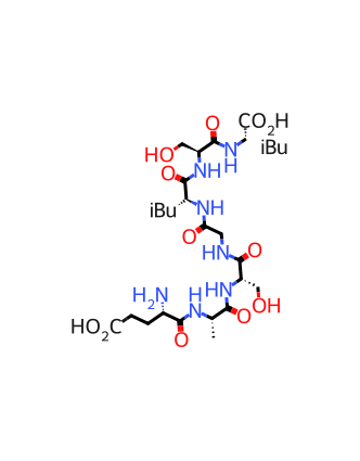 CC[C@H](C)[C@H](NC(=O)[C@H](CO)NC(=O)[C@@H](NC(=O)CNC(=O)[C@H](CO)NC(=O)[C@H](C)NC(=O)[C@@H](N)CCC(=O)O)[C@@H](C)CC)C(=O)O